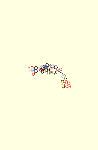 CN(C(=O)CCN1CCC2(CC1)CC(OC(C(=O)O)(c1cccs1)c1cccs1)C2)c1cccc(C(=O)Nc2ccc(CNC[C@H](O[Si](C)(C)C(C)(C)C)c3ccc(O)c4[nH]c(=O)ccc34)cc2)c1